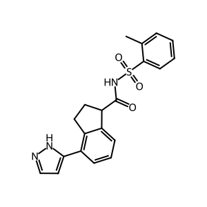 Cc1ccccc1S(=O)(=O)NC(=O)C1CCc2c(-c3ccn[nH]3)cccc21